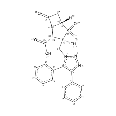 C[C@]1(Cn2nnc(-c3ccccc3)c2-c2ccccc2)[C@H](C(=O)O)N2C(=O)C[C@@H]2S1(=O)=O